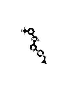 FC(F)(F)c1cccc(-c2c[nH]c(-c3ccnc(N4CCN(CC5CC5)CC4)c3)n2)c1